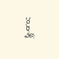 CC(C)(C)[Si](C)(C)OCc1ccc([C]c2ccc(F)c(F)c2)nc1